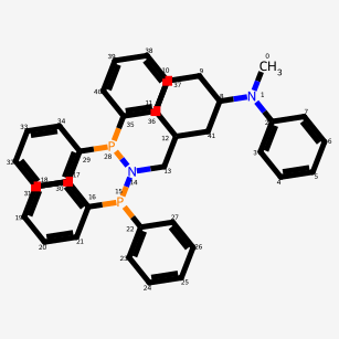 CN(c1ccccc1)C1CCCC(CN(P(c2ccccc2)c2ccccc2)P(c2ccccc2)c2ccccc2)C1